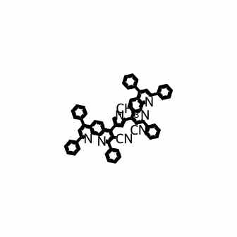 Cn1cc(-c2c(C#N)c(-c3ccccc3)nc3c2ccc2c(-c4ccccc4)cc(-c4ccccc4)nc23)cc1-c1c(C#N)c(-c2ccccc2)nc2c1ccc1c(-c3ccccc3)cc(-c3ccccc3)nc12